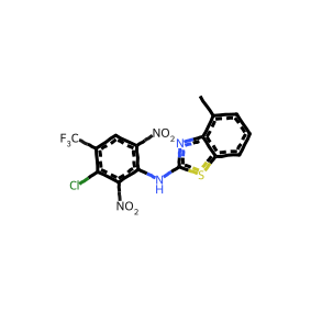 Cc1cccc2sc(Nc3c([N+](=O)[O-])cc(C(F)(F)F)c(Cl)c3[N+](=O)[O-])nc12